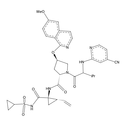 C=C[C@@H]1C[C@]1(NC(=O)[C@@H]1C[C@@H](Oc2nccc3cc(OC)ccc23)CN1C(=O)C(Nc1cc(C#N)ccn1)C(C)C)C(=O)NS(=O)(=O)C1CC1